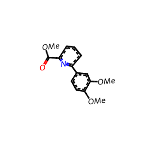 COC(=O)c1cccc(-c2ccc(OC)c(OC)c2)n1